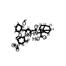 COc1cccc(OC)c1-c1cc(C(=O)NC2(C(=O)O)C3CC4CC(C3)CC2C4)nn1-c1ccc([N+](=O)[O-])cc1C